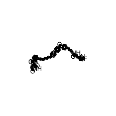 O=C(/C=C/c1ccc(F)nc1)NCCCCC1CCN(C(=O)c2ccc(N3CCN(CCCCCC#Cc4cccc5c4CN(C4CCC(=O)NC4=O)C5=O)CC3)cc2)CC1